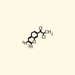 [2H]C1=C([2H])OC2=CC(C(=O)C(C)Cl)=CCC2=C1